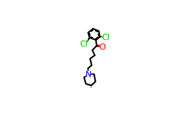 O=C(CCCCCN1CC[CH]CC1)c1c(Cl)cccc1Cl